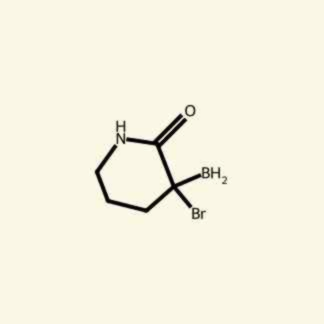 BC1(Br)CCCNC1=O